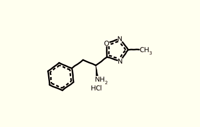 Cc1noc([C@@H](N)Cc2ccccc2)n1.Cl